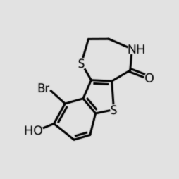 O=C1NCCSc2c1sc1ccc(O)c(Br)c21